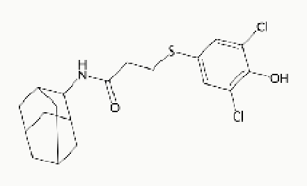 O=C(CCSc1cc(Cl)c(O)c(Cl)c1)NC1C2CC3CC(C2)CC1C3